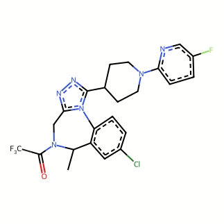 CC1c2cc(Cl)ccc2-n2c(nnc2C2CCN(c3ccc(F)cn3)CC2)CN1C(=O)C(F)(F)F